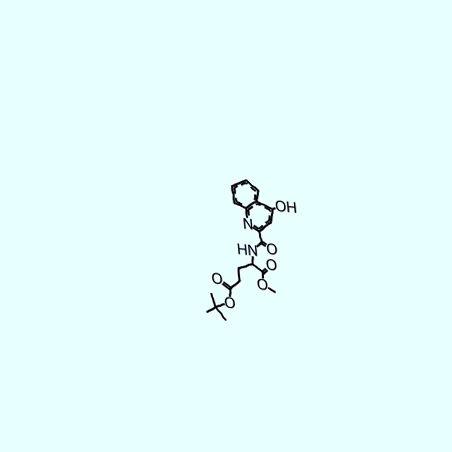 COC(=O)C(CCC(=O)OC(C)(C)C)NC(=O)c1cc(O)c2ccccc2n1